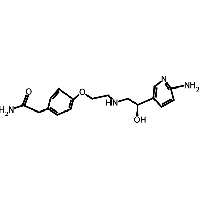 NC(=O)Cc1ccc(OCCNC[C@H](O)c2ccc(N)nc2)cc1